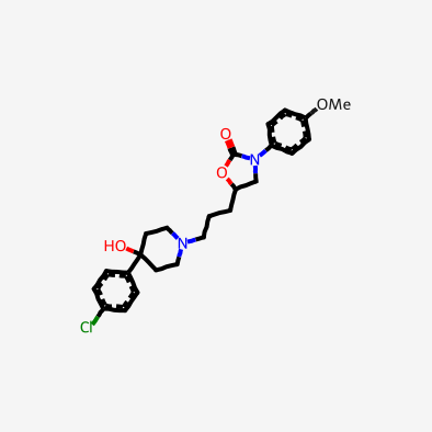 COc1ccc(N2CC(CCCN3CCC(O)(c4ccc(Cl)cc4)CC3)OC2=O)cc1